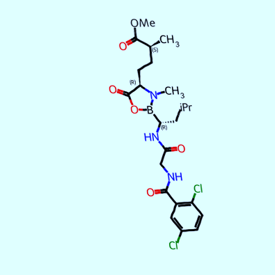 COC(=O)[C@@H](C)CC[C@@H]1C(=O)OB([C@H](CC(C)C)NC(=O)CNC(=O)c2cc(Cl)ccc2Cl)N1C